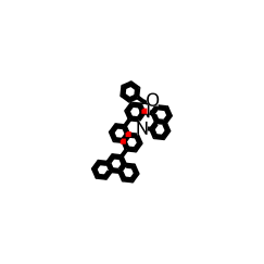 c1ccc(-c2nc3c(ccc4cccc(N(c5ccc(-c6cc7ccccc7c7ccccc67)cc5)c5ccccc5-c5ccccc5)c43)o2)cc1